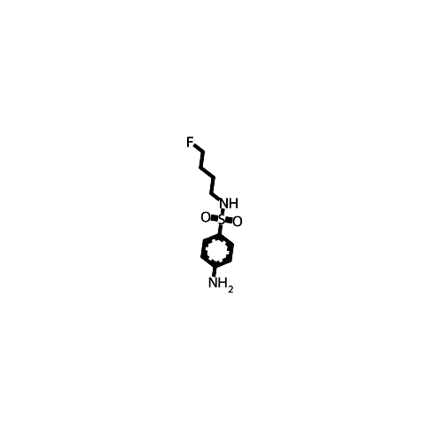 Nc1ccc(S(=O)(=O)NCCCCF)cc1